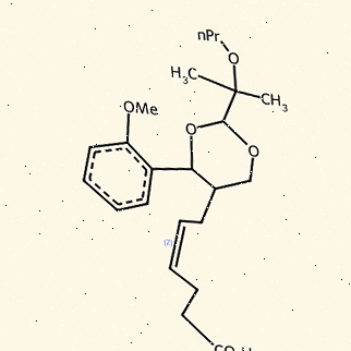 CCCOC(C)(C)C1OCC(C/C=C\CCC(=O)O)C(c2ccccc2OC)O1